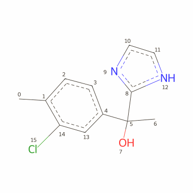 Cc1ccc(C(C)(O)c2ncc[nH]2)cc1Cl